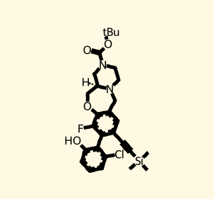 CC(C)(C)OC(=O)N1CCN2Cc3cc(C#C[Si](C)(C)C)c(-c4c(O)cccc4Cl)c(F)c3OC[C@H]2C1